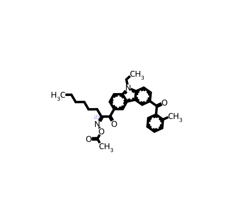 CCCCCC/C(=N/OC(C)=O)C(=O)c1ccc2c(c1)c1cc(C(=O)c3ccccc3C)ccc1n2CC